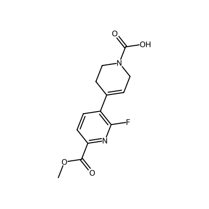 COC(=O)c1ccc(C2=CCN(C(=O)O)CC2)c(F)n1